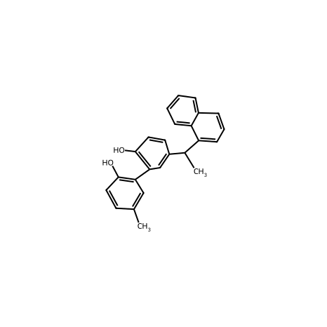 Cc1ccc(O)c(-c2cc(C(C)c3cccc4ccccc34)ccc2O)c1